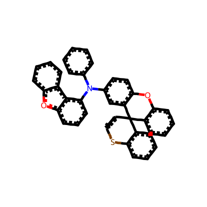 c1ccc(N(c2ccc3c(c2)C2(c4ccccc4O3)c3ccccc3Sc3ccccc32)c2cccc3oc4ccccc4c23)cc1